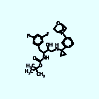 CC(C)(C)OC(=O)NC(Cc1cc(F)cc(F)c1)C(O)CNC1(c2cccc(N3CC4CC3CO4)c2)CC1